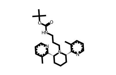 Cc1cccnc1[C@H]1CCC[C@@H](c2ncccc2C)N1CCCNC(=O)OC(C)(C)C